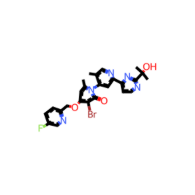 Cc1cnc(-c2ccnc(C(C)(C)O)n2)cc1-n1c(C)cc(OCc2ccc(F)cn2)c(Br)c1=O